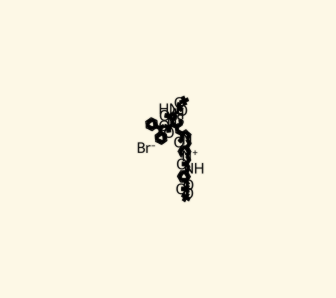 CC(C)(C)OC(=O)N[C@@H]1C(=O)N2C(C(=O)OC(c3ccccc3)c3ccccc3)=C(/C=C3\CCN(Cc4ccc[n+](CC(=O)Nc5cccc(OC(=O)OC(C)(C)C)c5)c4)C3=O)CS[C@H]12.[Br-]